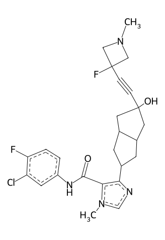 CN1CC(F)(C#CC2(O)CC3CC(c4ncn(C)c4C(=O)Nc4ccc(F)c(Cl)c4)CC3C2)C1